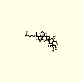 CCC1(O)C(=O)OCc2c1cc1n(c2=O)Cc2c-1nc1ccc(NCCCN(C)C)c3c1c2CCS3